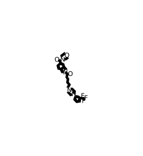 O=C(c1ccc2cn(C(=O)CCCCCN3CCN(c4cccc(C(F)(F)F)c4)CC3)cc2c1)N1CCOCC1